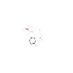 CCCCN.COC(Cc1ccc(O)cc1)C(=O)O